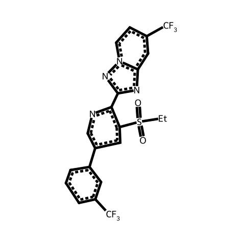 CCS(=O)(=O)c1cc(-c2cccc(C(F)(F)F)c2)cnc1-c1nc2cc(C(F)(F)F)ccn2n1